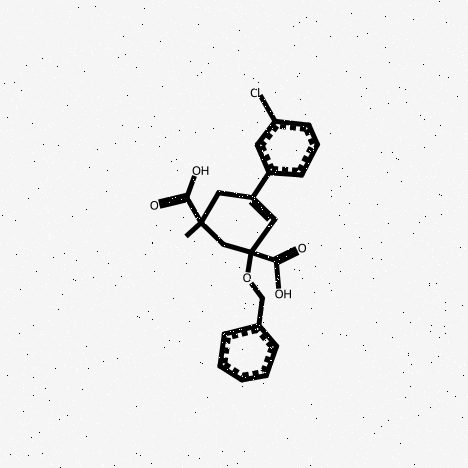 CC1(C(=O)O)CC(c2cccc(Cl)c2)=CC(OCc2ccccc2)(C(=O)O)C1